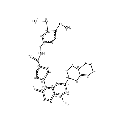 COc1ccc(CNC(=O)c2ccc(-n3c(=O)ccc4c(C)nc(N5CCC6CCCC=C6C5)nc43)cc2)cc1OC